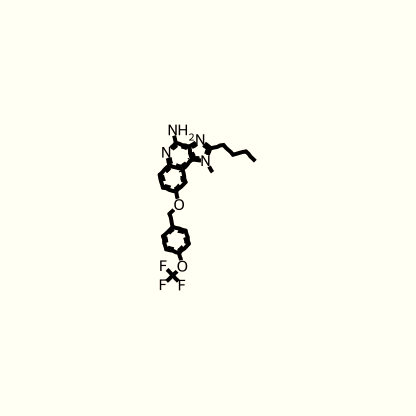 CCCCc1nc2c(N)nc3ccc(OCc4ccc(OC(F)(F)F)cc4)cc3c2n1C